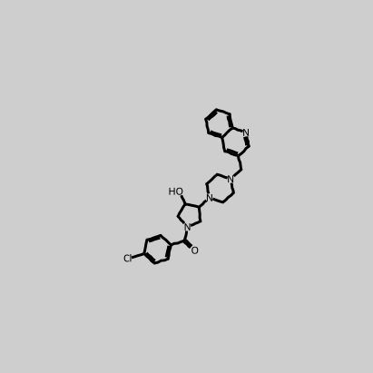 O=C(c1ccc(Cl)cc1)N1CC(O)C(N2CCN(Cc3cnc4ccccc4c3)CC2)C1